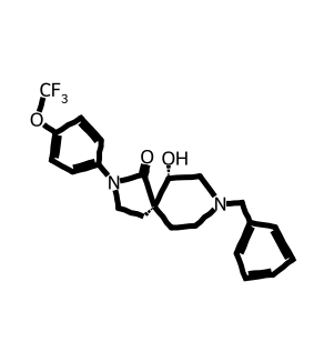 O=C1N(c2ccc(OC(F)(F)F)cc2)CC[C@]12CCN(Cc1ccccc1)C[C@H]2O